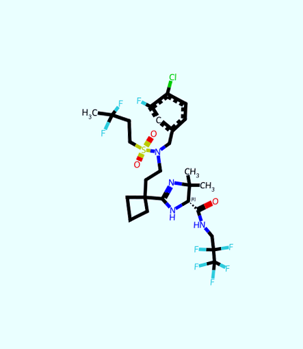 CC(F)(F)CCS(=O)(=O)N(CCC1(C2=NC(C)(C)[C@H](C(=O)NCC(F)(F)C(F)(F)F)N2)CCC1)Cc1ccc(Cl)c(F)c1